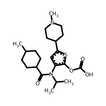 CC1CCC(C(=O)N(c2cc(C3CCN(C)CC3)sc2OC(=O)O)C(C)C)CC1